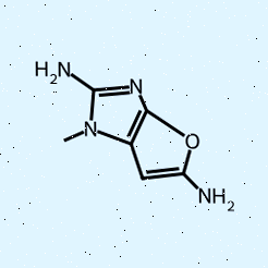 Cn1c(N)nc2oc(N)cc21